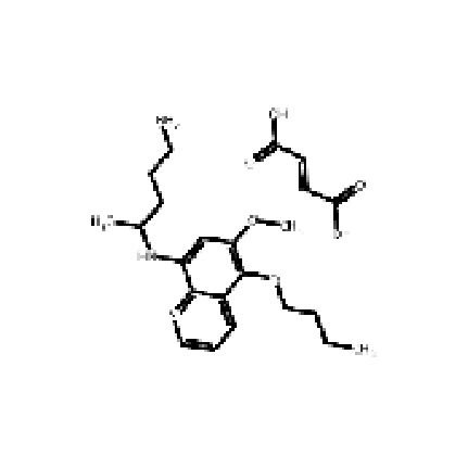 CCCCOc1c(OC)cc(NC(C)CCCN)c2ncccc12.O=C(O)/C=C/C(=O)O